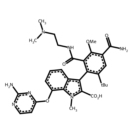 COc1c(C(N)=O)cc(C(C)(C)C)c(-c2c(C(=O)O)n(C)c3c(Oc4ccnc(N)n4)cccc23)c1C(=O)NCCN(C)C